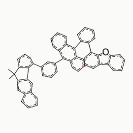 CC1(C)c2cc3ccccc3cc2-c2c(-c3cccc(-c4c5ccccc5c(-c5ccccc5-c5cccc6c5oc5ccccc56)c5ccccc45)c3)cccc21